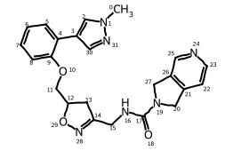 Cn1cc(-c2ccccc2OCC2CC(CNC(=O)N3Cc4ccncc4C3)=NO2)cn1